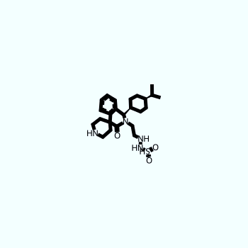 CC(C)[C@H]1CC[C@@H](C2c3ccccc3C3(CCNCC3)C(=O)N2CCNN[SH](=O)=O)CC1